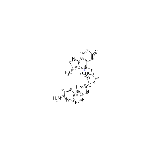 CN1/C(=C\C(=C/C=O)c2cc(Cl)ccc2-n2cc(C(F)(F)F)nn2)CCC1c1nc(F)c(-c2ccc(N)nc2F)[nH]1